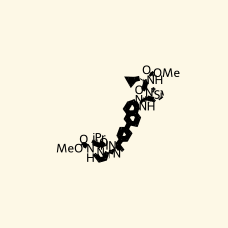 COC(=O)N[C@@H](CC1CC1)C(=O)N1C[Si](C)(C)C[C@H]1c1nc2ccc3cc(-c4ccc(-c5cnc([C@@H]6CCCN6C(=O)[C@@H](NC(=O)OC)C(C)C)[nH]5)cc4)ccc3c2[nH]1